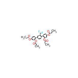 C=CC(=O)Oc1ccc(-c2ccc(-c3ccc(OC(=O)C=C)cc3OC(=O)C=C)c(C(F)F)c2)c(OC(=O)C=C)c1